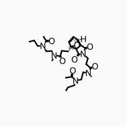 CCCN(CCN(C)C(=O)CCN1C(=O)C2C(C1=O)[C@@]1(CCC(=O)N(C)CCN(CCC)C(C)=O)C=C[C@@H]2O1)C(C)=O